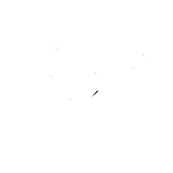 C[C@H]1COCCN1c1nc(Cl)nc2sc(-c3ccnn3C3CCCCO3)nc12